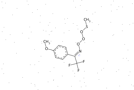 COc1ccc(/C(=N\OOOSC)C(F)(F)F)cc1